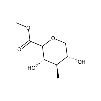 COC(=O)C1OC[C@H](O)[C@@H](C)[C@@H]1O